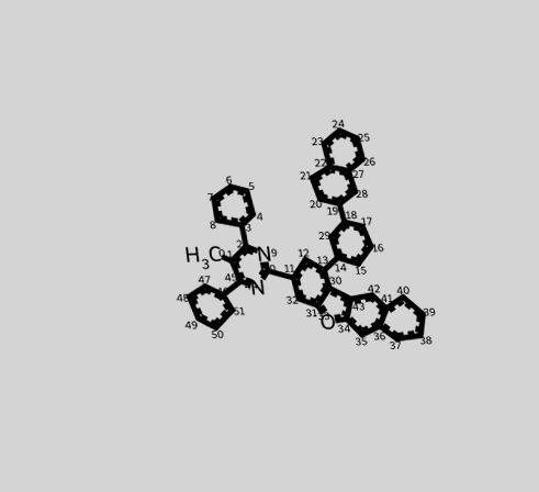 Cc1c(-c2ccccc2)nc(-c2cc(-c3cccc(-c4ccc5ccccc5c4)c3)c3c(c2)oc2cc4ccccc4cc23)nc1-c1ccccc1